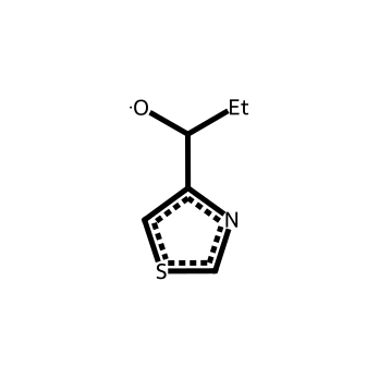 CCC([O])c1cscn1